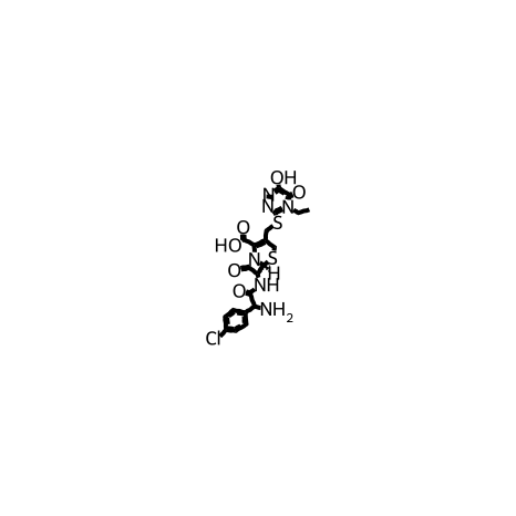 CCn1c(SCC2=C(C(=O)O)N3C(=O)C(NC(=O)C(N)c4ccc(Cl)cc4)[C@H]3SC2)nnc(O)c1=O